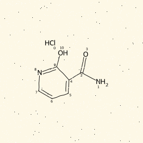 Cl.NC(=O)c1cccnc1O